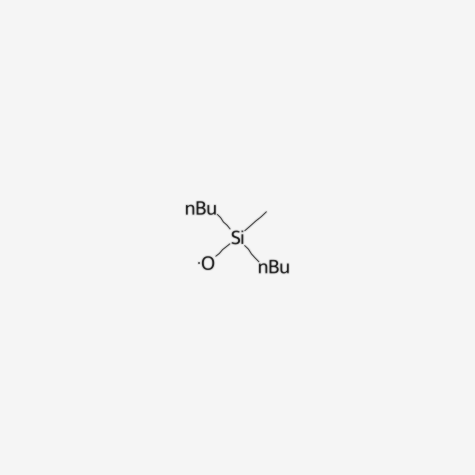 CCCC[Si](C)([O])CCCC